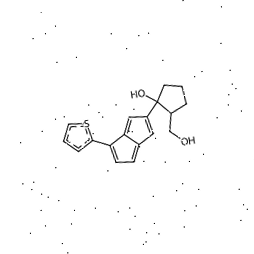 OCC1CCCC1(O)C1=CC2=CC=C(c3cccs3)C2=C1